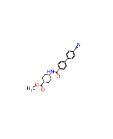 COC(=O)C1CCC(NC(=O)c2ccc(-c3ccc(C#N)cc3)cc2)CC1